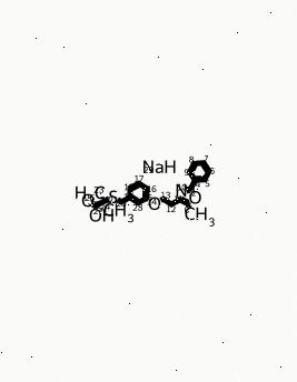 Cc1oc(-c2ccccc2)nc1CCOc1cccc(CSC(C)(C)C(=O)O)c1.[NaH]